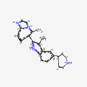 Cc1c(-c2[nH]c3ccc(C4CCNCC4)cc3c2C(C)C)ccc2nccn12